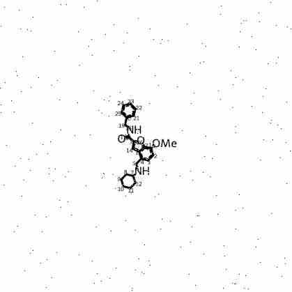 COc1ccc(CNC2CCCCC2)c2cc(C(=O)NCc3ccccc3)oc12